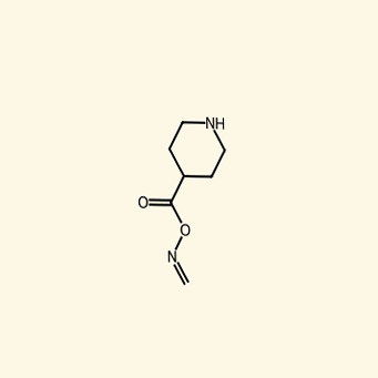 C=NOC(=O)C1CCNCC1